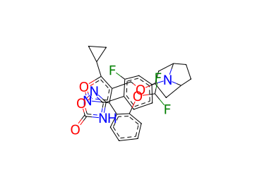 O=c1[nH]c(-c2ccc(N3C4CCC3CC(OCc3c(-c5ccccc5OC(F)F)noc3C3CC3)C4)cc2F)no1